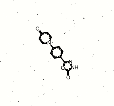 O=c1ccn(-c2ccc(-c3n[nH]c(=O)o3)cc2)cc1